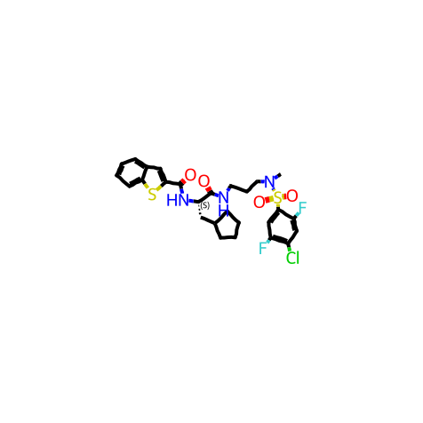 CN(CCCNC(=O)[C@H](CC1CCCC1)NC(=O)c1cc2ccccc2s1)S(=O)(=O)c1cc(F)c(Cl)cc1F